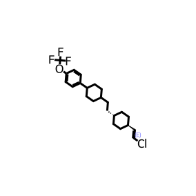 FC(F)(F)Oc1ccc(C2CCC(CC[C@H]3CC[C@H](/C=C/Cl)CC3)CC2)cc1